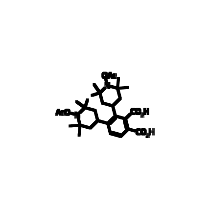 CC(=O)ON1C(C)(C)CC(c2ccc(C(=O)O)c(C(=O)O)c2C2CC(C)(C)N(OC(C)=O)C(C)(C)C2)CC1(C)C